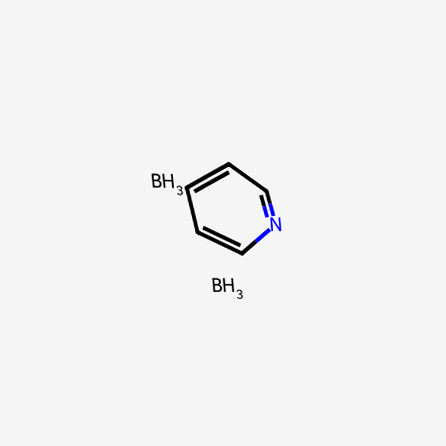 B.B.c1ccncc1